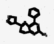 Nc1nc(-c2ccccc2)c2nc(-c3cn[nH]c3)ccc2n1